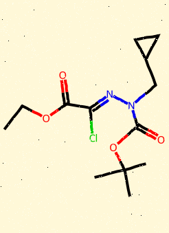 CCOC(=O)/C(Cl)=N/N(CC1CC1)C(=O)OC(C)(C)C